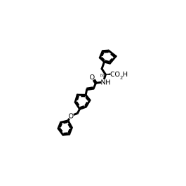 O=C(C=Cc1ccc(COc2ccccc2)cc1)N[C@@H](Cc1ccccc1)C(=O)O